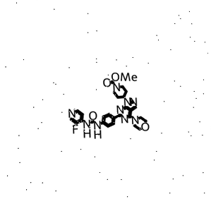 COC(=O)N1CCC(n2ncc3c(N4CCOCC4)nc(-c4ccc(NC(=O)Nc5ccncc5F)cc4)nc32)CC1